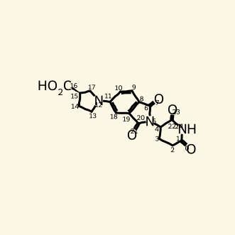 O=C1CCC(N2C(=O)c3ccc(N4CC[C@@H](C(=O)O)C4)cc3C2=O)C(=O)N1